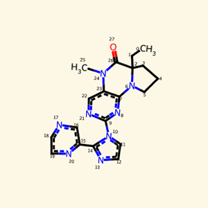 CCC12CCCN1c1nc(-n3ccnc3-c3cnccn3)ncc1N(C)C2=O